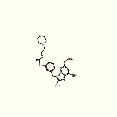 CCCCOc1nc(N)c2nc(O)n(Cc3cccc(CC(=O)OCCN4CCOCC4)c3)c2n1